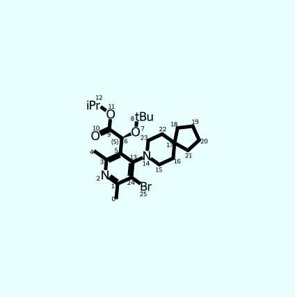 Cc1nc(C)c([C@H](OC(C)(C)C)C(=O)OC(C)C)c(N2CCC3(CCCC3)CC2)c1Br